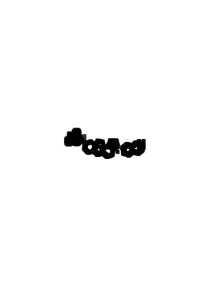 C[C@]12CC=C3C=C4CC/C(=N\OS(C)(=O)=O)C[C@]45CC[C@]3(O5)[C@@H]1CC[C@@H]2c1ccc2ccncc2c1